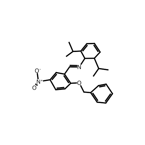 CC(C)C1=CC=CC(C(C)C)C1/N=C/c1cc([N+](=O)[O-])ccc1OCc1ccccc1